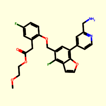 COCCOC(=O)Cc1cc(F)ccc1OCc1cc(-c2ccnc(CN)c2)c2occc2c1F